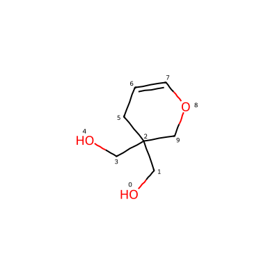 OCC1(CO)CC=COC1